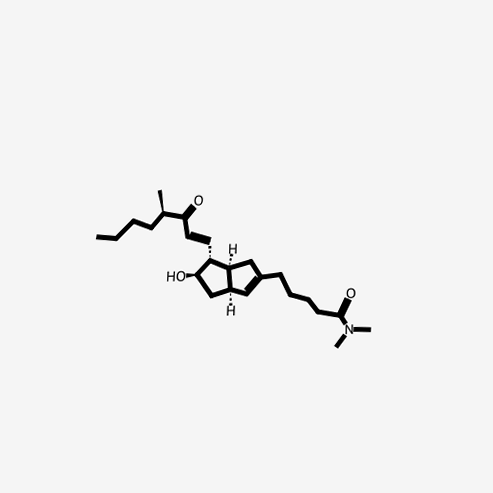 CCCC[C@@H](C)C(=O)/C=C/[C@@H]1[C@H]2CC(CCCCC(=O)N(C)C)=C[C@H]2C[C@H]1O